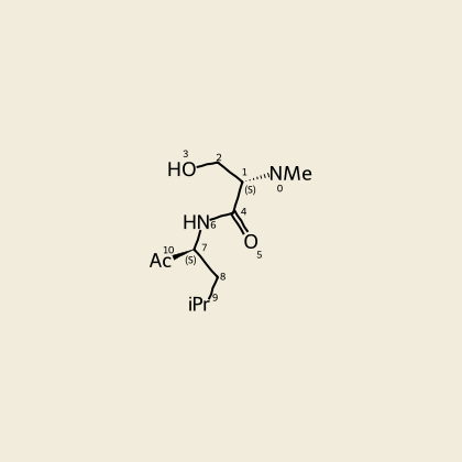 CN[C@@H](CO)C(=O)N[C@@H](CC(C)C)C(C)=O